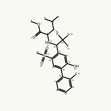 COC(=O)C(CC(C)C)NC(c1cc(O)c(-c2ccccc2F)cc1S(C)(=O)=O)C(F)(F)F